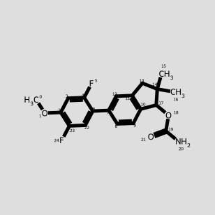 COc1cc(F)c(-c2ccc3c(c2)CC(C)(C)C3OC(N)=O)cc1F